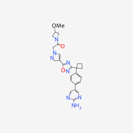 COC1CN(C(=O)Cn2cc(-c3nc(C4(c5ccc(-c6cnc(N)nc6)cc5)CCC4)no3)cn2)C1